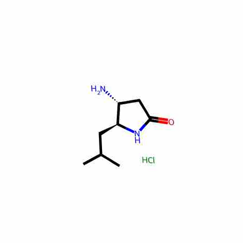 CC(C)C[C@@H]1NC(=O)C[C@H]1N.Cl